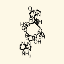 Nc1ccnc2c1ncn2[C@@H]1S[C@@H]2CO[P@](=O)(S)O[C@@H]3[C@H](O)[C@@H](CO[P@@](=O)(S)O[C@H]2[C@H]1O)O[C@H]3n1ccc(=O)n2ccnc12